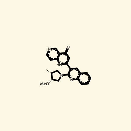 CO[C@H]1CN(c2nc3ccccc3cc2-c2cc(=O)c3cnccc3[nH]2)C[C@H]1C